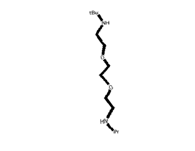 CC(C)NCCOCCOCCNC(C)(C)C